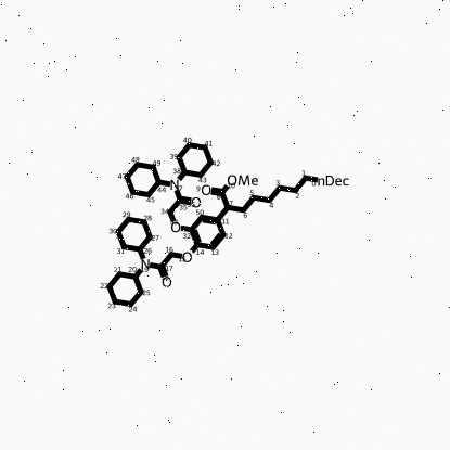 CCCCCCCCCCCCCCCCC(C(=O)OC)c1ccc(OCC(=O)N(C2CCCCC2)C2CCCCC2)c(OCC(=O)N(C2CCCCC2)C2CCCCC2)c1